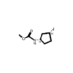 COC(=O)N[C@H]1CC[C@@H](I)C1